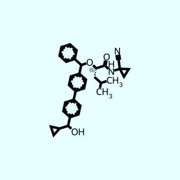 CC(C)C[C@H](OC(c1ccccc1)c1ccc(-c2ccc(C(O)C3CC3)cc2)cc1)C(=O)NC1(C#N)CC1